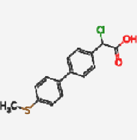 CSc1ccc(-c2ccc(C(Cl)C(=O)O)cc2)cc1